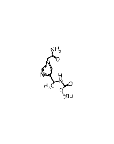 CC(NC(=O)OC(C)(C)C)c1cn(CC(N)=O)cn1